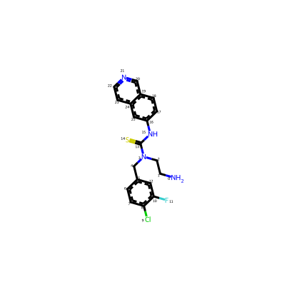 NCCN(Cc1ccc(Cl)c(F)c1)C(=S)Nc1ccc2cnccc2c1